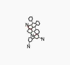 N#Cc1ccc(-n2c3ccc(C#N)cc3c3cc(C#N)ccc32)c(-c2ccccc2-c2c3ccccc3c(-c3ccccc3)c3ccccc23)c1